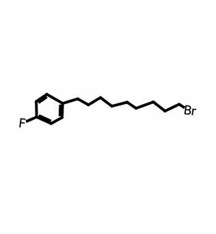 Fc1ccc(CCCCCCCCCBr)cc1